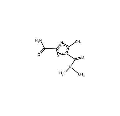 Cc1nc(C(N)=O)sc1C(=O)N(C)C